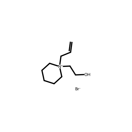 C=CC[N+]1(CCO)CCCCC1.[Br-]